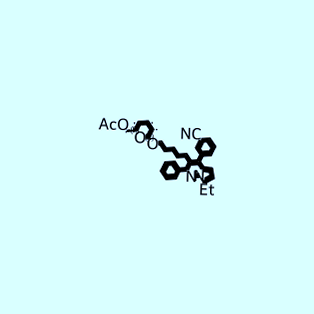 CCc1ccc2c(-c3cccc(C#N)c3)c(CCCCCO[C@H]3[CH][CH][CH][C@H](COC(C)=O)O3)c(-c3ccccc3)nn12